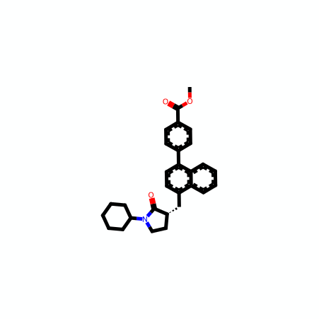 COC(=O)c1ccc(-c2ccc(C[C@@H]3CCN(C4CCCCC4)C3=O)c3ccccc23)cc1